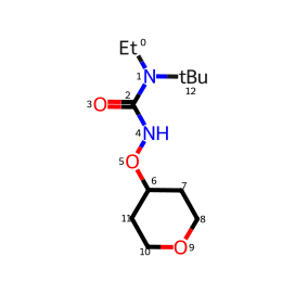 CCN(C(=O)NOC1CCOCC1)C(C)(C)C